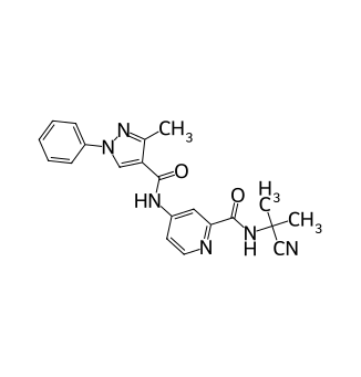 Cc1nn(-c2ccccc2)cc1C(=O)Nc1ccnc(C(=O)NC(C)(C)C#N)c1